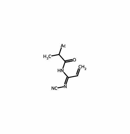 C=C/C(=N/C#N)NC(=O)C(C)C(C)=O